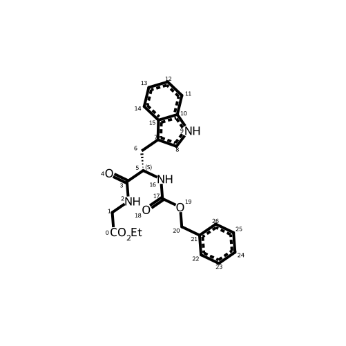 CCOC(=O)CNC(=O)[C@H](Cc1c[nH]c2ccccc12)NC(=O)OCc1ccccc1